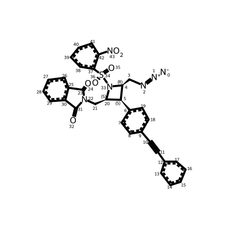 [N-]=[N+]=NC[C@H]1[C@@H](c2ccc(C#Cc3ccccc3)cc2)[C@@H](CN2C(=O)c3ccccc3C2=O)N1S(=O)(=O)c1ccccc1[N+](=O)[O-]